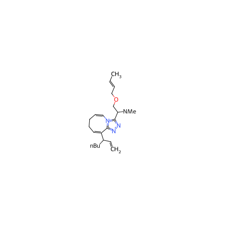 C=CC(CCCC)/C1=C/CC/C=C\n2c1nnc2C(COC/C=C/C)NC